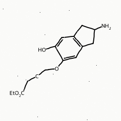 CCOC(=O)CCCOc1cc2c(cc1O)CC(N)C2